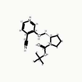 CC(C)(C)OC(=O)N1CCC[C@H]1COc1cnccc1C#N